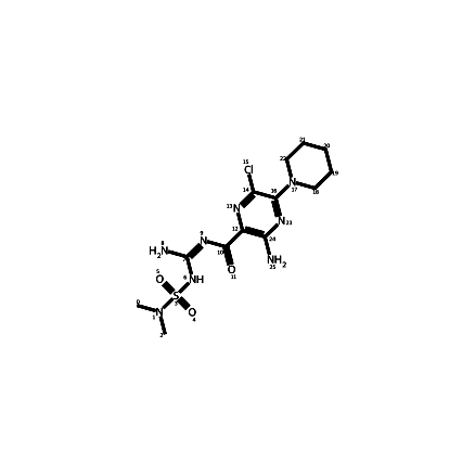 CN(C)S(=O)(=O)N/C(N)=N\C(=O)c1nc(Cl)c(N2CCCCC2)nc1N